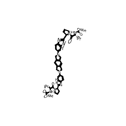 COC(=O)NC(C(=O)N1CCCC1c1nc2ccc(N3Cc4cc5c(cc4C3)CN(c3ccc4nc(C6CCCN6C(=O)[C@H](NC(=O)OC)C(C)C)[nH]c4c3)C5)cc2[nH]1)C(C)C